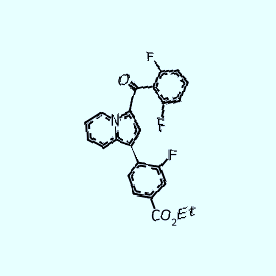 CCOC(=O)c1ccc(-c2cc(C(=O)c3c(F)cccc3F)n3ccccc23)c(F)c1